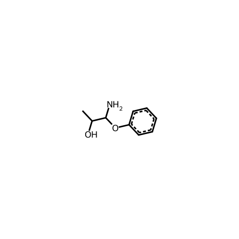 CC(O)C(N)Oc1ccccc1